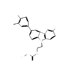 CC(C)(C)OC(=O)NCCn1c2ccc(Cl)cc2c2cc(-c3ccc(Cl)c(Cl)c3)ccc21